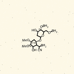 BOCC1OC(O[C@@H]2C[C@H](OC)[C@H](OC)C(O)C2C(B)C#N)CC(O)[C@@H]1OB